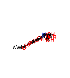 CNC(=O)CCOCCOCCOCCOCCOCCOCCOCCOCCn1cc(CCO[C@H]2O[C@H](CCP(=O)(O)O)[C@@H](O)[C@H](O)[C@@H]2O)nn1